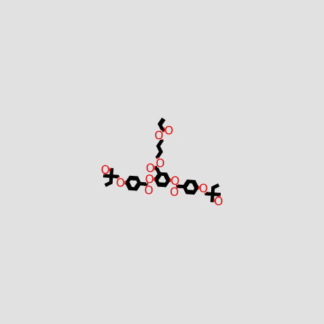 C=CC(=O)OCCCCOC(=O)c1cc(OC(=O)c2ccc(OCC3(CC)COC3)cc2)ccc1OC(=O)c1ccc(OCC2(CC)COC2)cc1